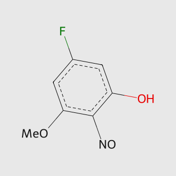 COc1cc(F)cc(O)c1N=O